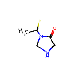 CC(S)N1CNCC1=O